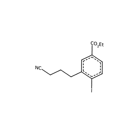 CCOC(=O)c1ccc(I)c(CCCC#N)c1